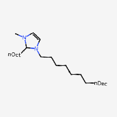 CCCCCCCCCCCCCCCCCN1C=CN(C)C1CCCCCCCC